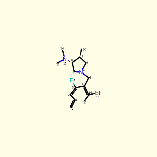 C=C/C=C(F)\C(CN1C[C@H](C)[C@@H](N(C)C)C1)=C(/C)CC